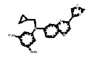 COc1cc(OC)cc(N(CC2CC2)c2ccc3ncc(-c4c[nH]cn4)nc3c2)c1